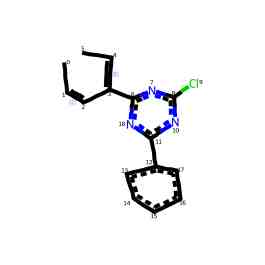 C/C=C\C(=C/C)c1nc(Cl)nc(-c2ccccc2)n1